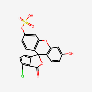 O=C1OC2(c3ccc(O)cc3Oc3cc(OS(=O)(=O)O)ccc32)c2cccc(Cl)c21